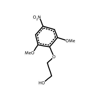 COc1cc([N+](=O)[O-])cc(OC)c1OCCO